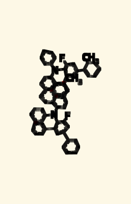 CC1CC=CC=C1c1cc(F)c(N(c2ccccc2)c2ccc3ccc4c(N(c5ccccc5)c5c(F)cc(-c6ccccc6)cc5-c5ccccc5)ccc5c4c3c2C(C)C5)c(-c2ccccc2)c1